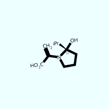 C=C(C(=O)O)N1CCC[C@]1(O)C(C)C